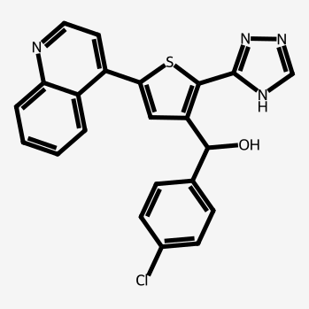 OC(c1ccc(Cl)cc1)c1cc(-c2ccnc3ccccc23)sc1-c1nnc[nH]1